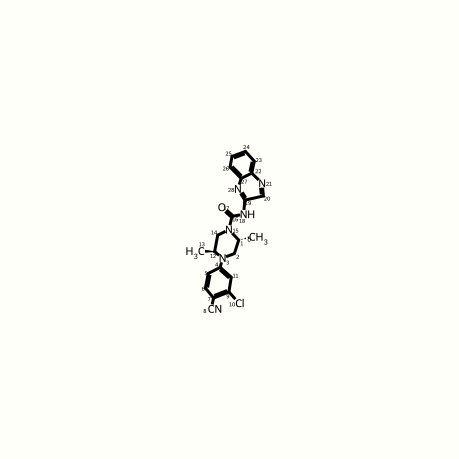 C[C@@H]1CN(c2ccc(C#N)c(Cl)c2)[C@@H](C)CN1C(=O)Nc1cnc2ccccc2n1